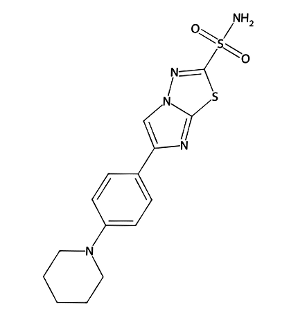 NS(=O)(=O)c1nn2cc(-c3ccc(N4CCCCC4)cc3)nc2s1